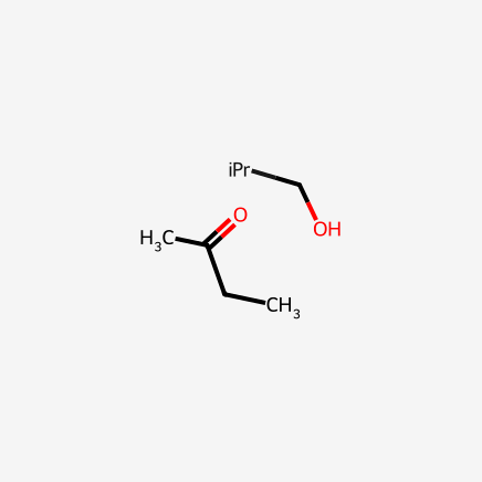 CC(C)CO.CCC(C)=O